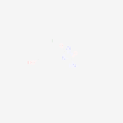 CC(C)(O)c1ccc([S@](N)(=O)=NC(=O)Nc2c3c(cc4c2CCC4)CCC3)c(F)c1